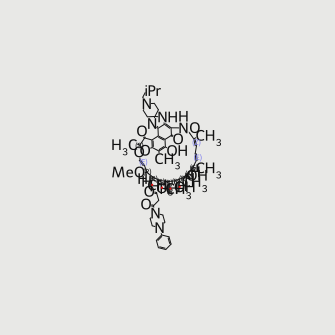 CO[C@H]1/C=C/O[C@@]2(C)Oc3c(C)c(O)c4c(c3C2=O)C2=NC3(CCN(CC(C)C)CC3)NC2=C(NC(=O)/C(C)=C\C=C\[C@H](C)[C@H](O)[C@@H](C)[C@@H](O)[C@@H](C)[C@H](OC(=O)CC(=O)N2CCN(c3ccccc3)CC2)[C@@H]1C)C4=O